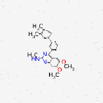 CNc1nc(-c2cccc(-c3ccc(C)c(C)c3)c2)c2cc(OC)c(OC)cc2n1